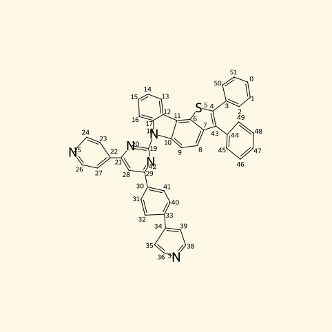 c1ccc(-c2sc3c(ccc4c3c3ccccc3n4-c3nc(-c4ccncc4)cc(-c4ccc(-c5ccncc5)cc4)n3)c2-c2ccccc2)cc1